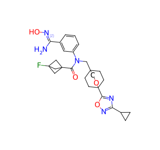 N/C(=N\O)c1cccc(N(CC23CCC(c4nc(C5CC5)no4)(CC2)OC3)C(=O)C23CC(F)(C2)C3)c1